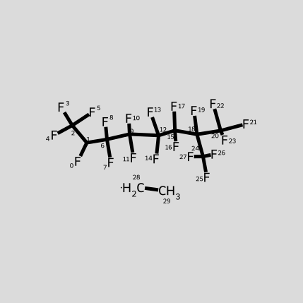 F[C](C(F)(F)F)C(F)(F)C(F)(F)C(F)(F)C(F)(F)C(F)(C(F)(F)F)C(F)(F)F.[CH2]C